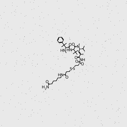 CN[C@H](C(=O)NC(C(=O)N(C)[C@H](/C=C(\C)C(=O)NS(=O)(=O)CCSSCCC(=O)NCCCCCC(N)=O)C(C)C)C(C)(C)C)C(C)(C)c1ccccc1